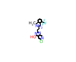 C[C@@H](N)c1cccc(C(F)(F)F)c1CCCCc1nc(O)c2cc(Cl)ncc2n1